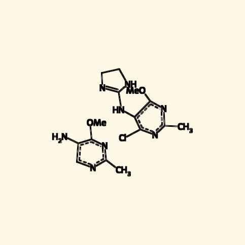 COc1nc(C)nc(Cl)c1NC1=NCCN1.COc1nc(C)ncc1N